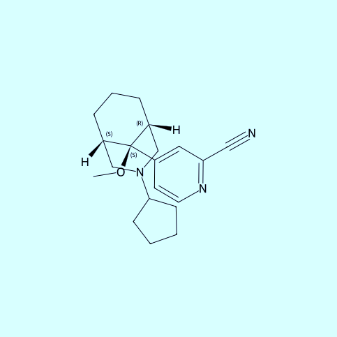 CO[C@]1(c2ccnc(C#N)c2)[C@@H]2CCC[C@H]1CN(C1CCCC1)C2